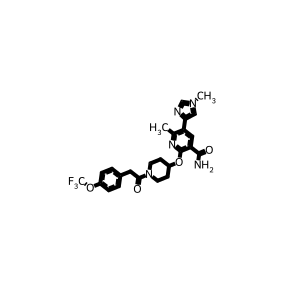 Cc1nc(OC2CCN(C(=O)Cc3ccc(OC(F)(F)F)cc3)CC2)c(C(N)=O)cc1-c1cn(C)cn1